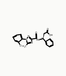 Cc1nc(C(=O)N[C@@H](CC(=O)O)c2ccccc2)nn1-c1ccccc1Cl